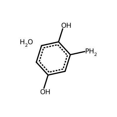 O.Oc1ccc(O)c(P)c1